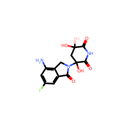 BC1(O)CC(O)(N2Cc3c(N)cc(F)cc3C2=O)C(=O)NC1=O